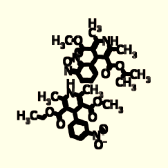 CCOC(=O)C1=C(C)NC(C)=C(C(=O)OC)C1c1cccc([N+](=O)[O-])c1.COC(=O)C1=C(C)NC(C)=C(C(=O)OC(C)C)C1c1cccc2nonc12